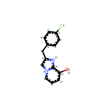 Fc1ccc(Cc2cn3cccc(Br)c3n2)cc1